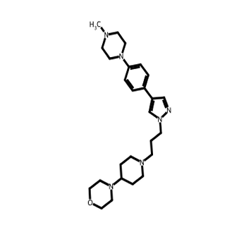 CN1CCN(c2ccc(-c3cnn(CCCN4CCC(N5CCOCC5)CC4)c3)cc2)CC1